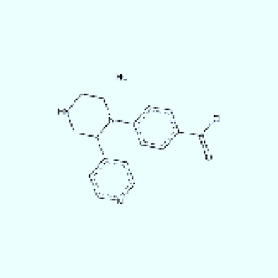 Cl.O=C(Cl)c1ccc(N2CCNCC2c2ccncc2)cc1